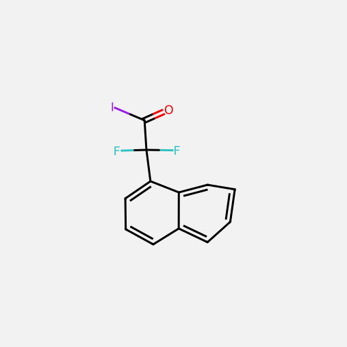 O=C(I)C(F)(F)c1cccc2ccccc12